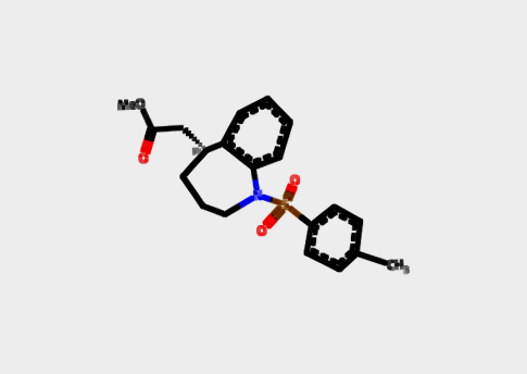 COC(=O)C[C@H]1CCCN(S(=O)(=O)c2ccc(C)cc2)c2ccccc21